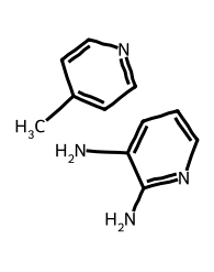 Cc1ccncc1.Nc1cccnc1N